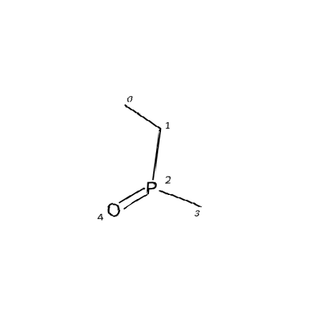 CC[P](C)=O